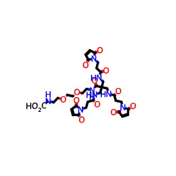 O=C(O)NCCOCCOCCNC(=O)C(CNC(=O)CCN1C(=O)C=CC1=O)(CNC(=O)CCN1C(=O)C=CC1=O)CNC(=O)CCN1C(=O)C=CC1=O